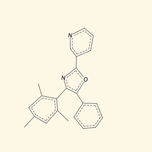 Cc1cc(C)c(-c2nc(-c3cccnc3)oc2-c2ccccc2)c(C)c1